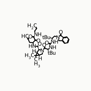 C#CCC(NC(=O)[C@@H]1[C@@H]2[C@H](CN1C(=O)[C@@H](NC(=O)N[C@H](CN1Cc3ccccc3C1=O)C(C)(C)C)C(C)(C)C)C2(C)C)C(=O)C(=O)NCC=C